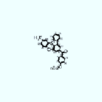 CCCCOc1ccc(C(=O)c2ccc3c(c2)c2ccccc2[s+]3-c2cc(C)ccc2C)cc1